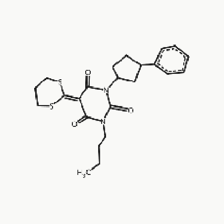 CCCCN1C(=O)C(=C2SCCCS2)C(=O)N(C2CCC(c3ccccc3)C2)C1=O